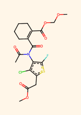 COCOC(=O)C1=C(C(=O)N(C(C)=O)c2c(F)sc(CC(=O)OC)c2Cl)CCCC1